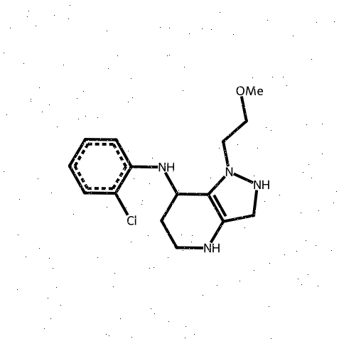 COCCN1NCC2=C1C(Nc1ccccc1Cl)CCN2